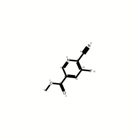 COC(=O)c1cnc(C#N)c(F)c1